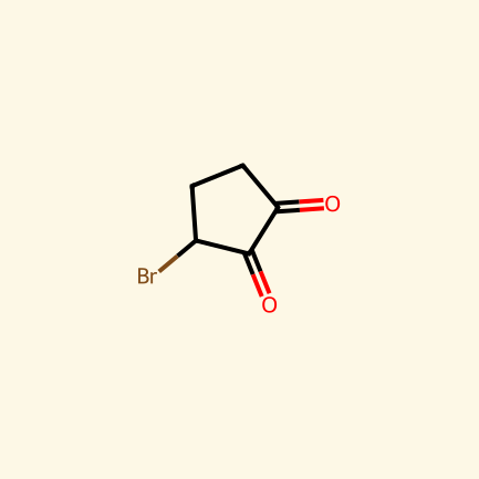 O=C1CCC(Br)C1=O